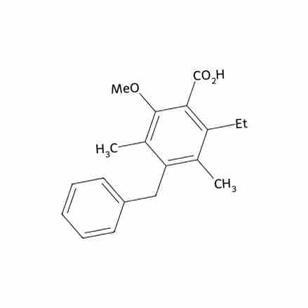 CCc1c(C)c(Cc2ccccc2)c(C)c(OC)c1C(=O)O